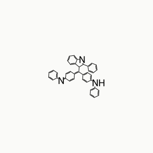 C1=CC(=C(c2ccc(Nc3ccccc3)cc2)C2C(c3ccccc3)=Nc3ccccc32)C=CC1=Nc1ccccc1